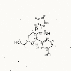 OC[C@H]1CC[C@@H]2[C@H](O1)c1cc(Cl)ccc1N[C@H]2c1cccs1